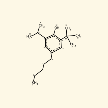 CCCCCc1cc(C(C)C)c(O)c(C(C)(C)C)c1